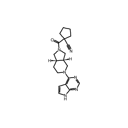 N#CC1(C(=O)N2C[C@H]3CCN(c4ncnc5[nH]ccc45)C[C@H]3C2)CCCC1